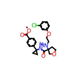 COC(=O)c1ccc(C2(NC(=O)C3(NCCOc4cccc(Cl)c4)CCOC3)CC2)cc1